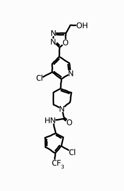 O=C(Nc1ccc(C(F)(F)F)c(Cl)c1)N1CC=C(c2ncc(-c3nnc(CO)o3)cc2Cl)CC1